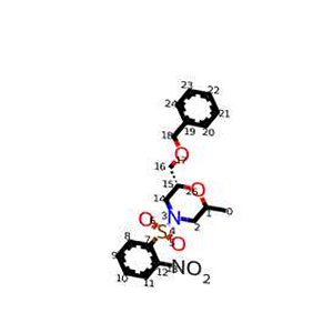 CC1CN(S(=O)(=O)c2ccccc2[N+](=O)[O-])C[C@H](COCc2ccccc2)O1